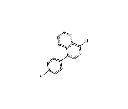 Clc1ccc(-c2ccc(Cl)c3nccnc23)cc1